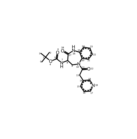 CC(C)(C)OC(=O)NC1CN(C(=O)Cc2cccnc2)c2ccccc2NC1=O